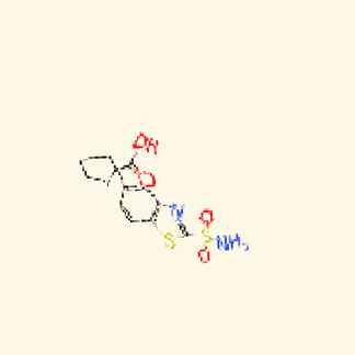 NS(=O)(=O)c1nc2cc(C3(C(=O)O)CCCCC3)ccc2s1